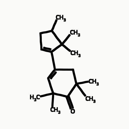 CC1CC=C(C2=CC(C)(C)C(=O)C(C)(C)C2)C1(C)C